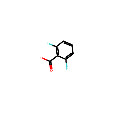 [O]C(=O)c1c(F)cccc1F